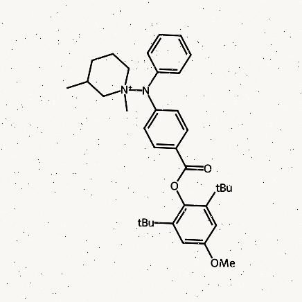 COc1cc(C(C)(C)C)c(OC(=O)c2ccc(N(c3ccccc3)[N+]3(C)CCCC(C)C3)cc2)c(C(C)(C)C)c1